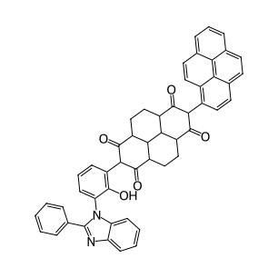 O=C1C(c2cccc(-n3c(-c4ccccc4)nc4ccccc43)c2O)C(=O)C2CCC3C(=O)C(c4ccc5ccc6cccc7ccc4c5c67)C(=O)C4CCC1C2C43